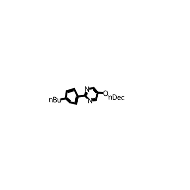 CCCCCCCCCCOc1cnc(-c2ccc(CCCC)cc2)nc1